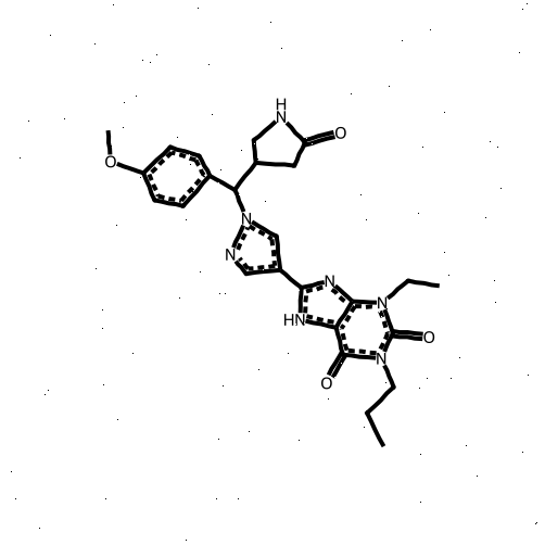 CCCn1c(=O)c2[nH]c(-c3cnn(C(c4ccc(OC)cc4)C4CNC(=O)C4)c3)nc2n(CC)c1=O